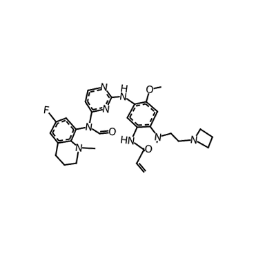 C=CC(=O)Nc1cc(Nc2nccc(N(C=O)c3cc(F)cc4c3N(C)CCC4)n2)c(OC)cc1N(C)CCN1CCC1